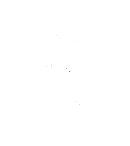 COc1cc(N2CCC3(CCN(C)CC3)CC2)c(Cl)cc1N